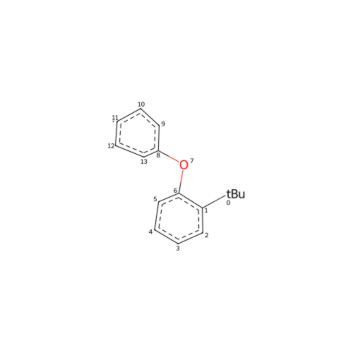 CC(C)(C)c1ccccc1Oc1cc[c]cc1